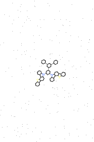 c1ccc(-c2cc(-c3ccccc3)cc(-c3cc(-n4c5ccccc5c5c6sc7ccccc7c6ccc54)cc(-n4c5ccccc5c5c6sc7ccccc7c6ccc54)c3)c2)cc1